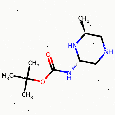 C[C@H]1CNC[C@H](NC(=O)OC(C)(C)C)N1